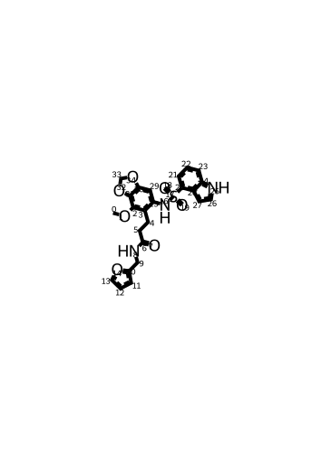 COc1c(CCC(=O)NCc2ccco2)c(NS(=O)(=O)c2cccc3[nH]ccc23)cc2c1OCO2